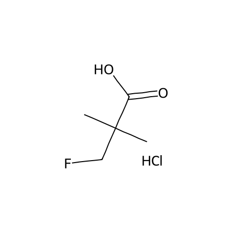 CC(C)(CF)C(=O)O.Cl